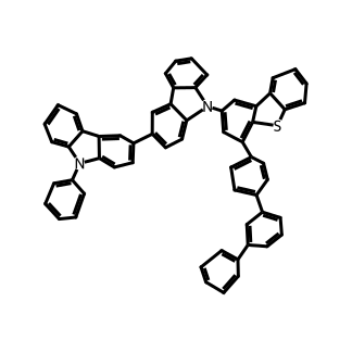 c1ccc(-c2cccc(-c3ccc(-c4cc(-n5c6ccccc6c6cc(-c7ccc8c(c7)c7ccccc7n8-c7ccccc7)ccc65)cc5c4sc4ccccc45)cc3)c2)cc1